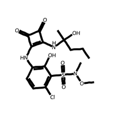 CCCC(C)(O)Nc1c(Nc2ccc(Cl)c(S(=O)(=O)N(C)OC)c2O)c(=O)c1=O